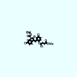 CCC(CCC(=O)OC)Oc1ccc(Cl)cc1/C=C1\C(=O)N(C(=O)OC(C)(C)C)c2cc(Cl)ccc21